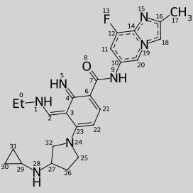 CCN/C=C1\C(=N)C(C(=O)Nc2cc(F)c3nc(C)cn3c2)=CC=C1N1CCC(NC2CC2)C1